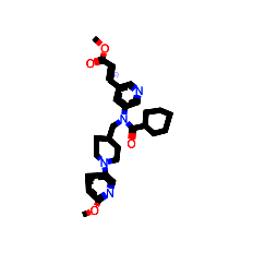 COC(=O)/C=C/c1cncc(N(CC2CCN(c3ccc(OC)nc3)CC2)C(=O)C2CCCCC2)c1